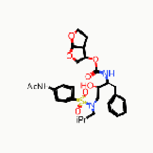 CC(=O)Nc1ccc(S(=O)(=O)N(CC(C)C)C[C@@H](O)[C@H](Cc2ccccc2)NC(=O)OC2COC3OCCC23)cc1